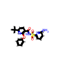 CC(C)(C)c1ccc(C(=O)NS(=O)(=O)c2cccc(N)n2)c(Oc2ccccc2)n1